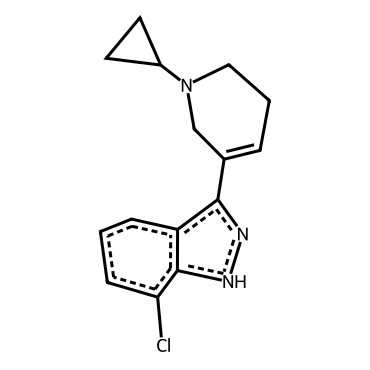 Clc1cccc2c(C3=CCCN(C4CC4)C3)n[nH]c12